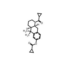 CC1(C)c2cc(OC(=O)C3CC3)ccc2C[C@@H]2[C@H]1CCCN2C(=O)C1CC1